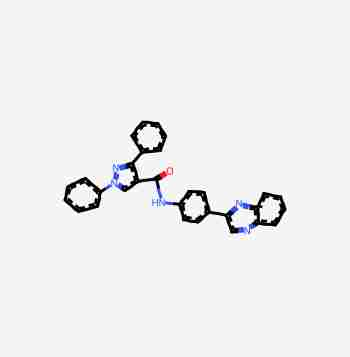 O=C(Nc1ccc(-c2cnc3ccccc3n2)cc1)c1cn(-c2ccccc2)nc1-c1ccccc1